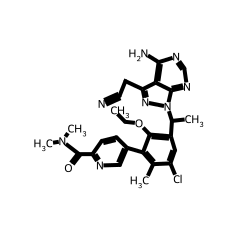 CCOc1c(C(C)n2nc(CC#N)c3c(N)ncnc32)cc(Cl)c(C)c1-c1ccc(C(=O)N(C)C)nc1